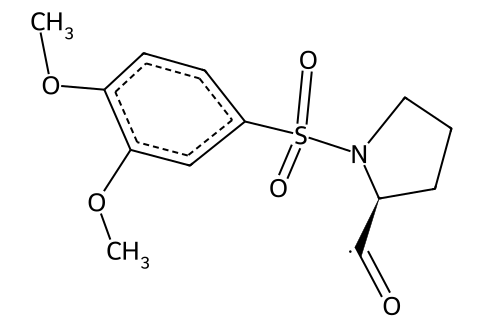 COc1ccc(S(=O)(=O)N2CCC[C@H]2[C]=O)cc1OC